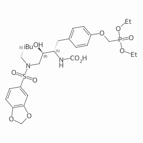 CCOP(=O)(COc1ccc(C[C@H](NC(=O)O)[C@H](O)CN(C[C@@H](C)CC)S(=O)(=O)c2ccc3c(c2)OCO3)cc1)OCC